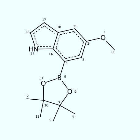 COc1cc(B2OC(C)(C)C(C)(C)O2)c2[nH]ccc2c1